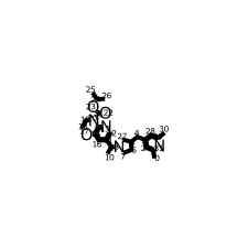 Cc1cc(CC2CCN(C(C)c3cnc4c(c3)OCCN4C(=O)OC(C)C)C2)cc(C)n1